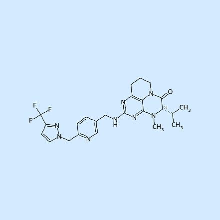 CC(C)[C@H]1C(=O)N2CCCc3nc(NCc4ccc(Cn5ccc(C(F)(F)F)n5)nc4)nc(c32)N1C